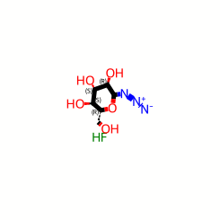 F.[N-]=[N+]=NC1O[C@H](CO)[C@@H](O)[C@H](O)[C@H]1O